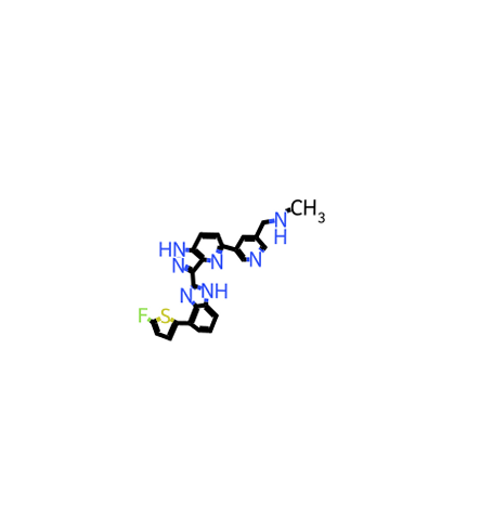 CCNCc1cncc(-c2ccc3[nH]nc(-c4nc5c(-c6ccc(F)s6)cccc5[nH]4)c3n2)c1